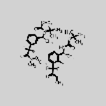 CCC(=O)C(F)(F)c1cccc([C@@H](C)NC(=O)OC(C)(C)C)c1F.CON(C)C(=O)C(F)(F)c1cccc([C@@H](C)N(C(=O)O)C(C)(C)C)c1